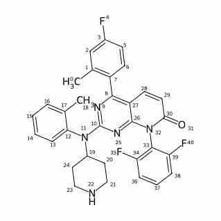 Cc1cc(F)ccc1-c1nc(N(c2ccccc2C)C2CCNCC2)nc2c1ccc(=O)n2-c1c(F)cccc1F